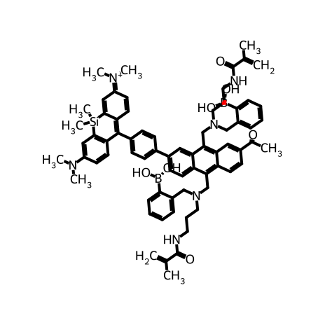 C=C(C)C(=O)NCCCN(Cc1ccccc1B(O)O)Cc1c2ccc(C(C)=O)cc2c(CN(CCCNC(=O)C(=C)C)Cc2ccccc2B(O)O)c2cc(-c3ccc(C4=C5C=CC(=[N+](C)C)C=C5[Si](C)(C)c5cc(N(C)C)ccc54)cc3)ccc12